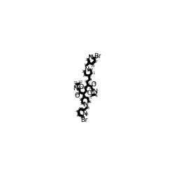 O=C(c1ncco1)C(CCC1CCN(Cc2ccc(Br)nc2)CC1)CCC(C(=O)c1ncco1)C1CCN(Cc2cccc(Br)n2)CC1